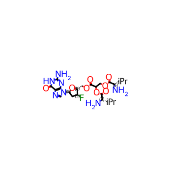 CC(C)[C@H](N)C(=O)OCC(OC(=O)[C@@H](N)C(C)C)C(=O)OC[C@H]1O[C@@H](n2cnc3c(=O)[nH]c(N)nc32)C[C@@H]1F